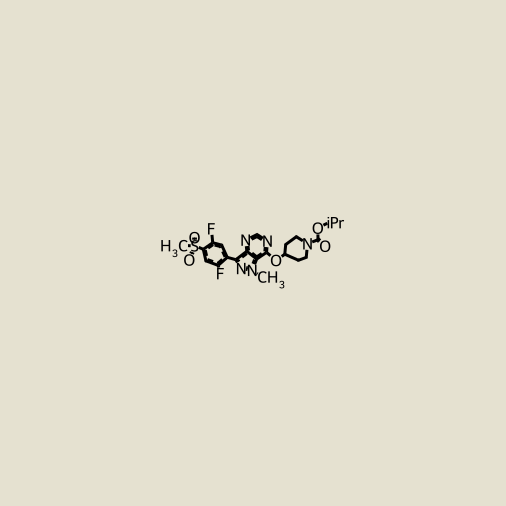 CC(C)OC(=O)N1CCC(Oc2ncnc3c(-c4cc(F)c(S(C)(=O)=O)cc4F)nn(C)c23)CC1